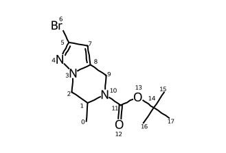 CC1Cn2nc(Br)cc2CN1C(=O)OC(C)(C)C